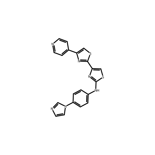 c1cc(-c2csc(-c3csc(Nc4ccc(-n5ccnc5)cc4)n3)n2)ccn1